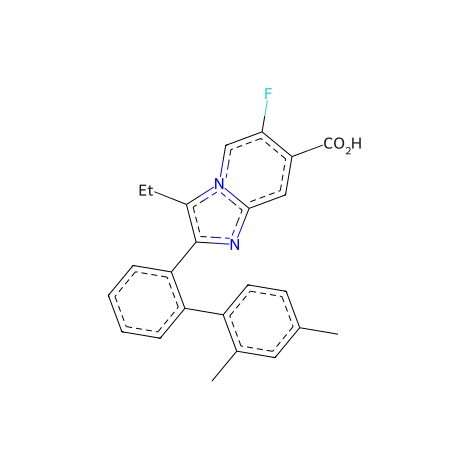 CCc1c(-c2ccccc2-c2ccc(C)cc2C)nc2cc(C(=O)O)c(F)cn12